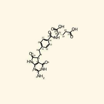 Nc1nc2c(c(=O)[nH]1)C(CCc1ccc(C(=O)N[C@@H](CCC(=O)O)C(=O)O)cc1)C(=O)N2